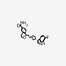 NC(=O)c1ccc2c(c1)CCOC2CCN1CC[C@H](c2c[nH]c3cc(F)ccc23)C1